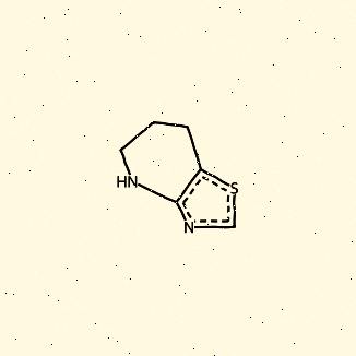 c1nc2c(s1)CCCN2